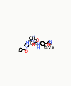 COc1cc(NC(=O)C(=O)NC(C)(C)CN2CCN(C(=O)C3CCCC3)CC2)ccc1-c1cnco1